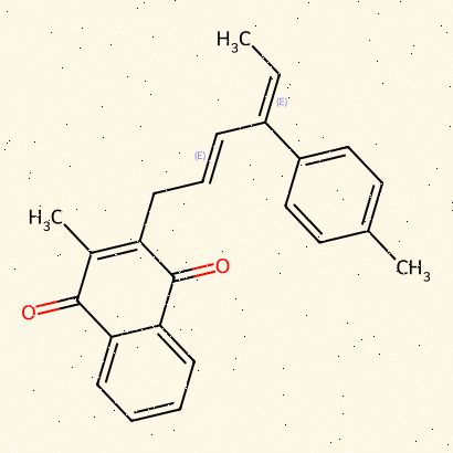 C/C=C(\C=C\CC1=C(C)C(=O)c2ccccc2C1=O)c1ccc(C)cc1